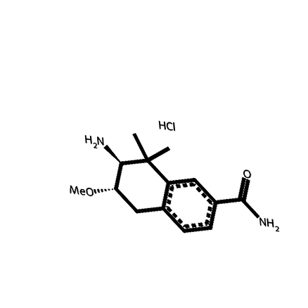 CO[C@H]1Cc2ccc(C(N)=O)cc2C(C)(C)[C@@H]1N.Cl